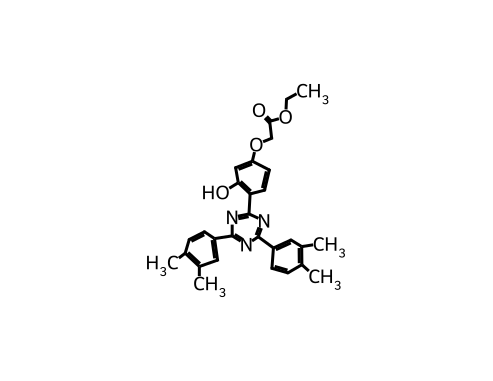 CCOC(=O)COc1ccc(-c2nc(-c3ccc(C)c(C)c3)nc(-c3ccc(C)c(C)c3)n2)c(O)c1